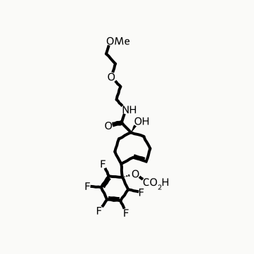 COCCOCCNC(=O)[C@]1(O)CC/C=C/C([C@]2(OC(=O)O)C(F)=C(F)C(F)=C(F)C2F)CC1